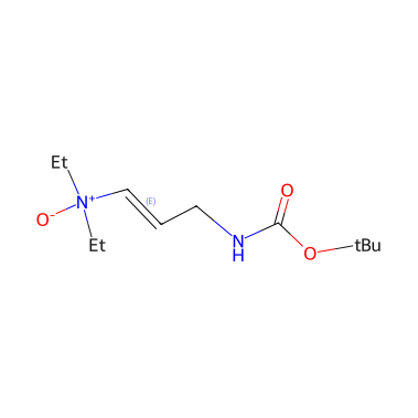 CC[N+]([O-])(/C=C/CNC(=O)OC(C)(C)C)CC